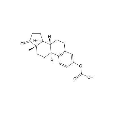 C[C@]12CC[C@@H]3c4ccc(OC(=O)O)cc4CC[C@H]3[C@@H]1CCC2=O